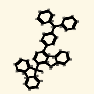 CC1(c2ccc(-c3ccc(N(c4ccccc4)c4ccccc4)cc3)c3c2oc2ccccc23)c2ccccc2-c2ccccc21